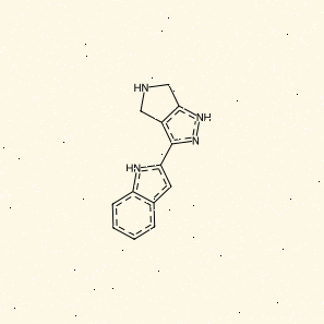 c1ccc2[nH]c(-c3n[nH]c4c3CNC4)cc2c1